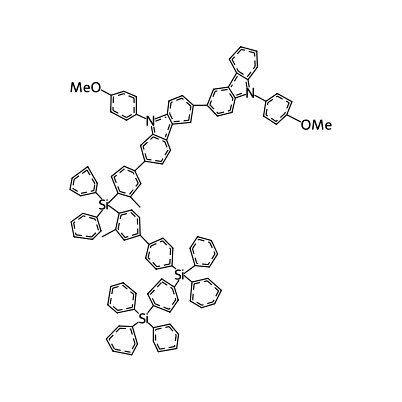 COc1ccc(-n2c3ccccc3c3cc(-c4ccc5c(c4)c4ccc(-c6ccc([Si](c7ccccc7)(c7ccccc7)c7ccc(-c8ccc([Si](c9ccccc9)(c9ccccc9)c9ccc([Si](c%10ccccc%10)(c%10ccccc%10)c%10ccccc%10)cc9)cc8)cc7C)c(C)c6)cc4n5-c4ccc(OC)cc4)ccc32)cc1